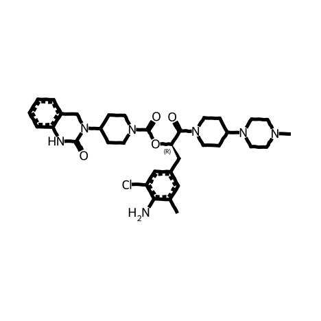 Cc1cc(C[C@@H](OC(=O)N2CCC(N3Cc4ccccc4NC3=O)CC2)C(=O)N2CCC(N3CCN(C)CC3)CC2)cc(Cl)c1N